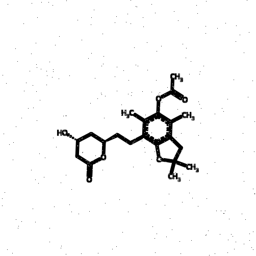 CC(=O)Oc1c(C)c(CC[C@@H]2C[C@@H](O)CC(=O)O2)c2c(c1C)CC(C)(C)O2